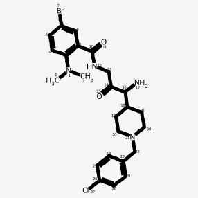 CN(C)c1ccc(Br)cc1C(=O)NCC(=O)C(N)C1CCN(Cc2ccc(Cl)cc2)CC1